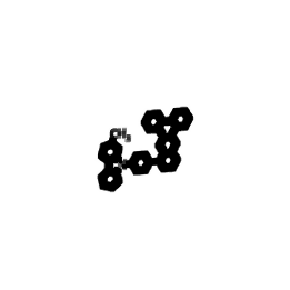 Cc1ccc2c3ccccc3n(-c3ccc(-c4cccc5cc6c7ccccc7c7ccccc7c6cc45)cc3)c2c1